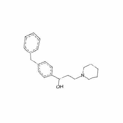 OC(CCN1CCCCC1)c1ccc(Cc2ccccc2)cc1